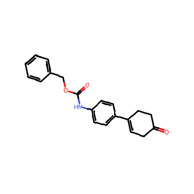 O=C1CC=C(c2ccc(NC(=O)OCc3ccccc3)cc2)CC1